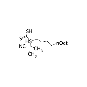 CCCCCCCCCCCC[SH](C(=S)S)C(C)(C)C#N